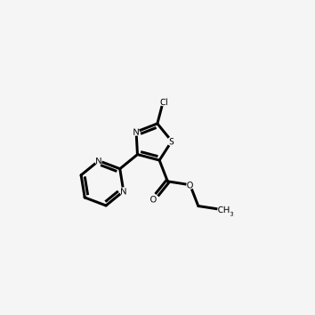 CCOC(=O)c1sc(Cl)nc1-c1ncccn1